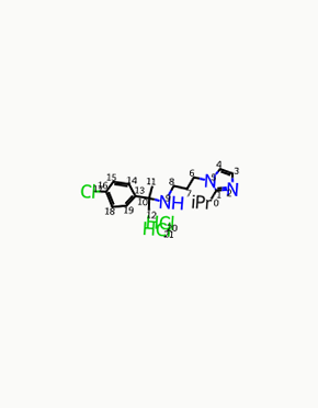 CC(C)c1nccn1CCCNC(C)(C)c1ccc(Cl)cc1.Cl.Cl